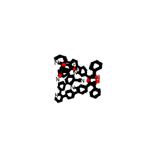 N#Cc1cccc(C(F)(F)F)c1-c1ccc(-n2c3cc(-c4cccnc4-c4ccccc4)ccc3c3ccc(-c4cccnc4-c4ccccc4)cc32)c(C#N)c1-n1c2cc(-c3cccnc3-c3ccccc3)ccc2c2ccc(-c3cccnc3-c3ccccc3)cc21